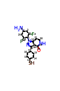 Nc1cc(F)c(-n2nc(-c3ccc(S)cc3)c3c(=O)[nH]ccc32)c(F)c1